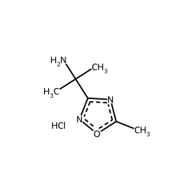 Cc1nc(C(C)(C)N)no1.Cl